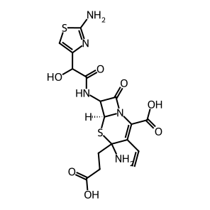 C=CC1=C(C(=O)O)N2C(=O)C(NC(=O)C(O)c3csc(N)n3)[C@@H]2SC1(N)CCC(=O)O